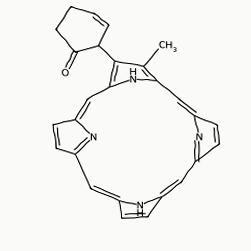 Cc1c(C2C=CCCC2=O)c2cc3nc(cc4ccc(cc5nc(cc1[nH]2)C=C5)[nH]4)C=C3